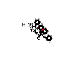 COC(=O)C(c1ccccc1)N1C(=O)CN2C(=O)C(OCc3ccccc3)C2(c2ccccc2)c2ccccc21